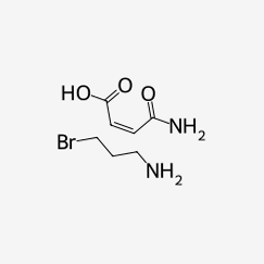 NC(=O)/C=C\C(=O)O.NCCCBr